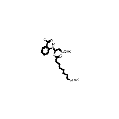 CCCCCCCCCCCCCCCCCC(=O)OC(CCCCCCCCCCC)Nc1ccccc1C([O])=O